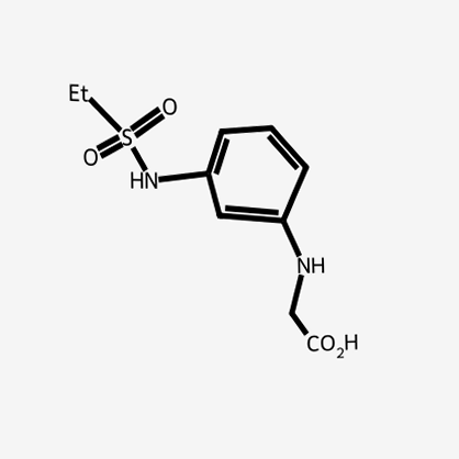 CCS(=O)(=O)Nc1cccc(NCC(=O)O)c1